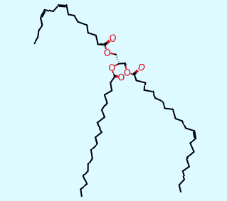 CCCC/C=C\C/C=C\CCCCCCCC(=O)OC[C@H](COC(=O)CCCCCCCCCCC/C=C\CCCCCCCC)OC(=O)CCCCCCCCCCCCCCCCCC